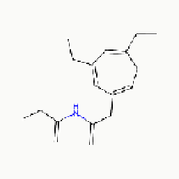 C=C(CC)NC(=C)CC1=CCC(CC)=CC(CC)=C1